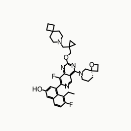 CCc1c(F)ccc2cc(O)cc(-c3ncc4c(N5CCC[C@]6(CCO6)C5)nc(OCC5(CN6CCC7(CCC7)CC6)CC5)nc4c3F)c12